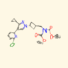 CC(C)(C)OC(=O)N(C[C@H]1C[C@H](n2cc(-c3cccc(Cl)n3)c(C3CC3)n2)C1)C(=O)OC(C)(C)C